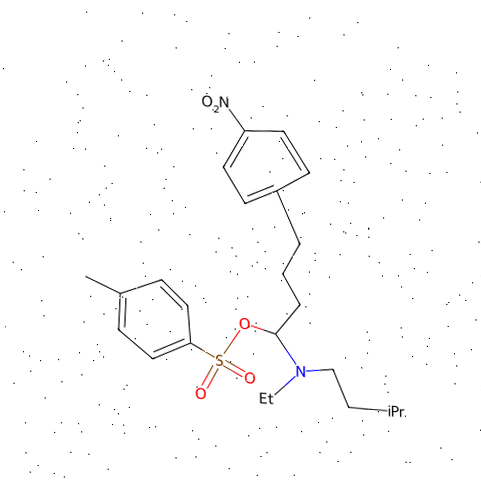 CCN(CCC(C)C)C(CCCc1ccc([N+](=O)[O-])cc1)OS(=O)(=O)c1ccc(C)cc1